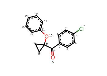 O=C(c1ccc(Cl)cc1)C1(Oc2ccccc2)CC1